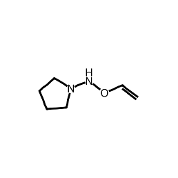 C=CONN1CCCC1